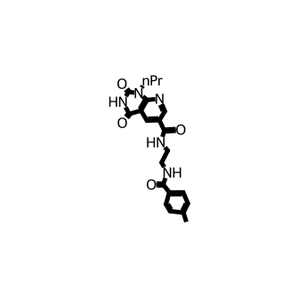 CCCn1c(=O)[nH]c(=O)c2cc(C(=O)NCCNC(=O)c3ccc(C)cc3)cnc21